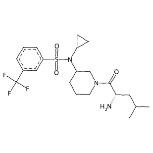 CC(C)C[C@H](N)C(=O)N1CCCC(N(C2CC2)S(=O)(=O)c2cccc(C(F)(F)F)c2)C1